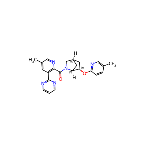 Cc1cnc(C(=O)N2C[C@H]3C[C@@H](Oc4ccc(C(F)(F)F)cn4)[C@@H]2C3)c(-c2ncccn2)c1